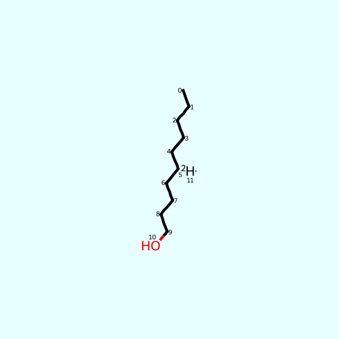 CCCCCCCCCCO.[2H]